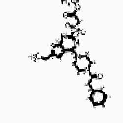 CCc1cc2c(N3CCN(C(=O)Cc4ccccc4)CC3)nc(S(=O)(=O)CC(=O)OC)nc2s1